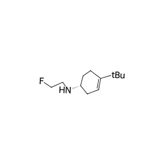 CC(C)(C)C1=CC[C@H](NCCF)CC1